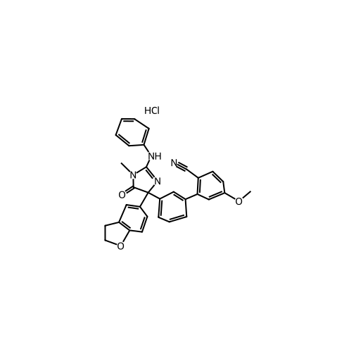 COc1ccc(C#N)c(-c2cccc(C3(c4ccc5c(c4)CCO5)N=C(Nc4ccccc4)N(C)C3=O)c2)c1.Cl